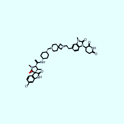 C=C(N[C@H]1CC[C@H](CN2CCC3(CC2)CN(CCc2ccc4c(c2)n(C)c(=O)n4C2CCC(=O)NC2=O)C3)CC1)[C@H]1C(C)[C@]2(C(=O)Nc3cc(Cl)ccc32)C2(CCCCC2)N1C